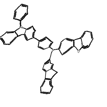 c1ccc(-n2c3ccccc3c3cc(-c4ccc(N(c5ccc6c(c5)Cc5ccccc5-6)c5ccc6c(c5)oc5ccccc56)cc4)ccc32)cc1